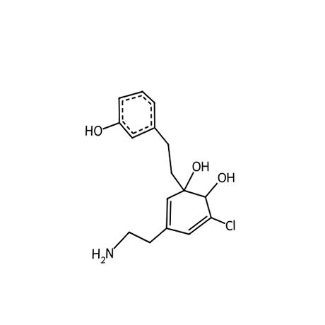 NCCC1=CC(O)(CCc2cccc(O)c2)C(O)C(Cl)=C1